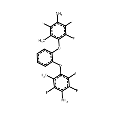 Cc1c(F)c(N)c(F)c(F)c1Oc1ccccc1Oc1c(C)c(F)c(N)c(F)c1F